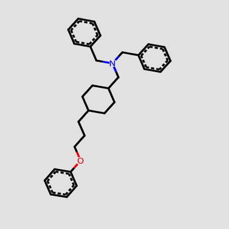 c1ccc(CN(Cc2ccccc2)CC2CCC(CCCOc3ccccc3)CC2)cc1